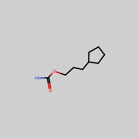 [NH]C(=O)OCCCC1CCCC1